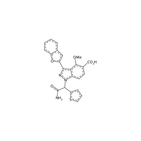 COc1c(C(=O)O)ccc2c1c(-c1cc3ccccc3o1)nn2C(C(N)=O)c1cccs1